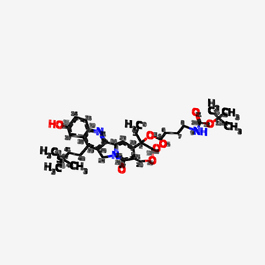 CCC1(OC(=O)CCCNC(=O)OC(C)(C)C)C(=O)OCc2c1cc1n(c2=O)Cc2c-1nc1ccc(O)cc1c2CC[Si](C)(C)C